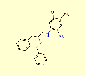 Cc1cc(N)c(NCC(Cc2ccccc2)OCc2ccccc2)cc1C